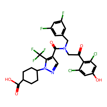 O=C(CN(Cc1cc(F)cc(F)c1)C(=O)c1cnn(C2CCC(C(=O)O)CC2)c1C(F)(F)F)c1c(Cl)cc(O)cc1Cl